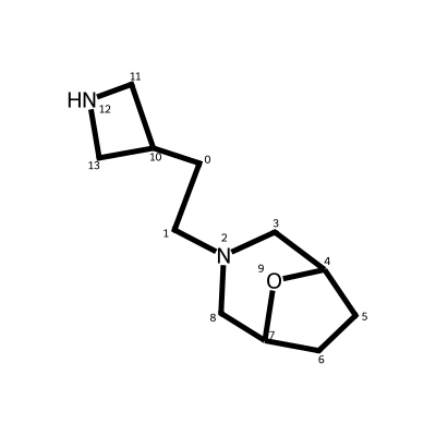 C(CN1CC2CCC(C1)O2)C1CNC1